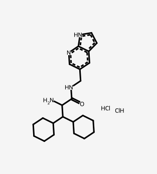 Cl.Cl.NC(C(=O)NCc1cnc2[nH]ccc2c1)C(C1CCCCC1)C1CCCCC1